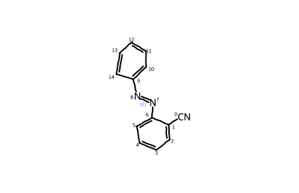 N#Cc1ccccc1/N=N/c1ccccc1